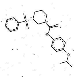 CC(C)Oc1ccc(NC(=O)[C@@H]2CCC[C@@H](S(=O)(=O)c3ccccc3)C2)cc1